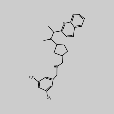 CC(c1ccc2ccccc2n1)N(C)C1CCC(CNCc2cc(C(F)(F)F)cc(C(F)(F)F)c2)C1